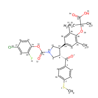 CSc1ccc(C(=O)[C@@H]2CN(C(=O)Oc3ccc(Cl)cc3F)C[C@H]2c2cc(C)c(OC(C)(C)C(=O)O)c(C)c2)cc1